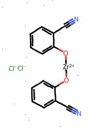 N#Cc1ccccc1[O][Zr+2][O]c1ccccc1C#N.[Cl-].[Cl-]